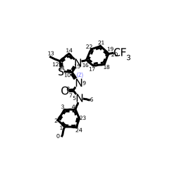 Cc1ccc(N(C)C(=O)/N=c2\sc(C)cn2-c2ccc(C(F)(F)F)cc2)cc1